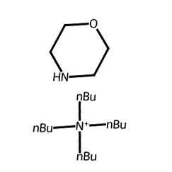 C1COCCN1.CCCC[N+](CCCC)(CCCC)CCCC